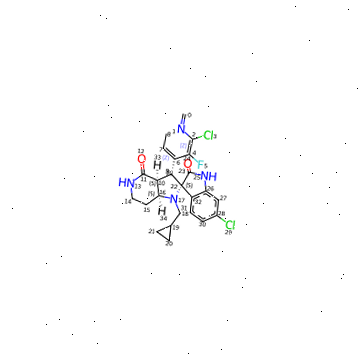 C=N/C(Cl)=C(F)\C(=C/C)[C@H]1[C@@H]2C(=O)NCC[C@@H]2N(CC2CC2)[C@@]12C(=O)Nc1cc(Cl)ccc12